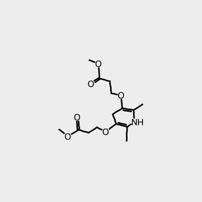 COC(=O)CCOC1=C(C)NC(C)=C(OCCC(=O)OC)C1